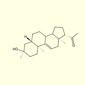 CC(=O)[C@H]1CCC2C3CC[C@H]4C[C@](C)(O)CC[C@]4(C)C3=CC[C@@]21C